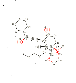 CCCCC1[C@@H]2[C@@H](C#C[C@@H](O)C3CCCCC3)[C@H](O)CC[C@]2(OC)C12OCCO2